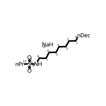 CCCCCCCCCCCCCCCCCCNS(=O)(=O)CCC.[NaH]